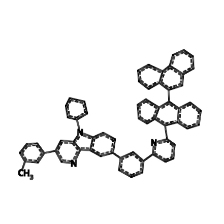 Cc1cccc(-c2cnc3c4cc(-c5cccc(-c6cccc(-c7c8ccccc8c(-c8cc9ccccc9c9ccccc89)c8ccccc78)n6)c5)ccc4n(-c4ccccc4)c3c2)c1